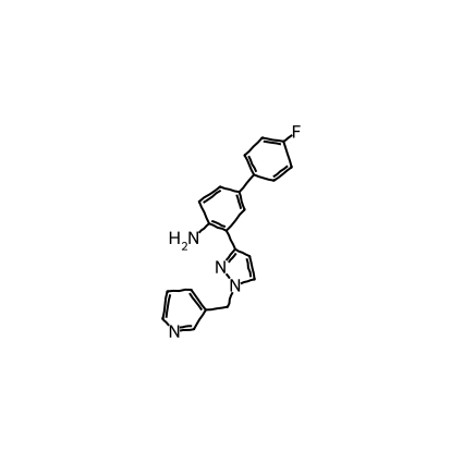 Nc1ccc(-c2ccc(F)cc2)cc1-c1ccn(Cc2cccnc2)n1